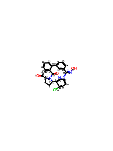 COC(=O)[C@@H]1CC[C@H](c2ccccc2Cl)N1C(=O)c1ccccc1-c1cccc(/C(N)=N\O)c1